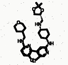 CC1(C)OC[C@@H](CN[C@H]2CC[C@H](Nc3cc(-c4nc(NCC5CCOCC5)ccc4Cl)c(Cl)cn3)CC2)O1